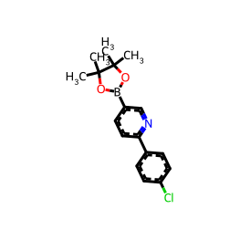 CC1(C)OB(c2ccc(-c3ccc(Cl)cc3)nc2)OC1(C)C